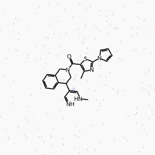 CN/C=C(\C=N)C1CN(C(=O)c2sc(-n3cccc3)nc2C)Cc2ccccc21